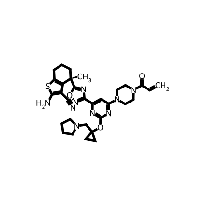 C=CC(=O)N1CCN(c2cc(-c3noc([C@@]4(C)CCCc5sc(N)c(C#N)c54)n3)nc(OC3(CN4CCCC4)CC3)n2)CC1